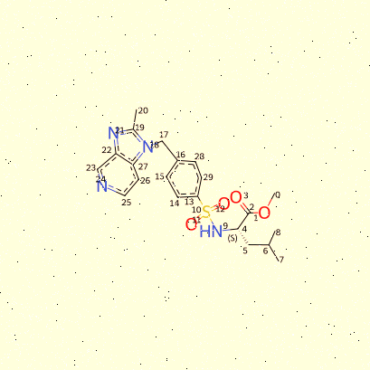 COC(=O)[C@H](CC(C)C)NS(=O)(=O)c1ccc(Cn2c(C)nc3cnccc32)cc1